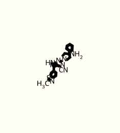 Cc1nc2ccc(-c3n[nH]c4nc(N5CCC(N)(c6ccccc6)CC5)nc(C#N)c34)cc2s1